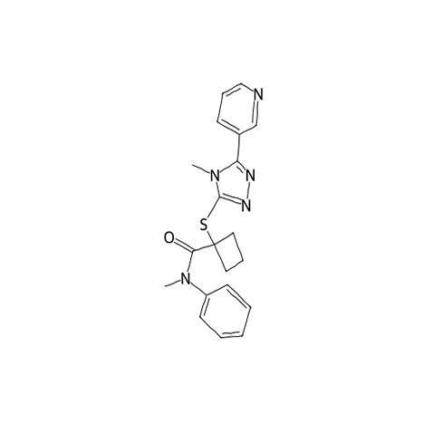 CN(C(=O)C1(Sc2nnc(-c3cccnc3)n2C)CCC1)c1ccccc1